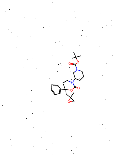 CC(C)(C)OC(=O)N1CCCC(N2CC[C@](CC3(C)CO3)(c3ccccc3)OC2=O)C1